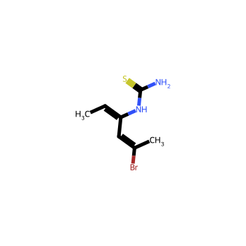 C/C=C(\C=C(/C)Br)NC(N)=S